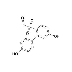 O=CS(=O)(=O)c1ccc(O)cc1-c1ccc(O)cc1